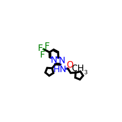 CC1(CC(=O)Nc2nc3ccc(C(F)(F)F)cn3c2C2CCCC2)CCCC1